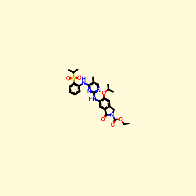 CCOC(=O)N1Cc2cc(OC(C)C)c(Nc3ncc(C)c(Nc4ccccc4S(=O)(=O)C(C)C)n3)cc2C1=O